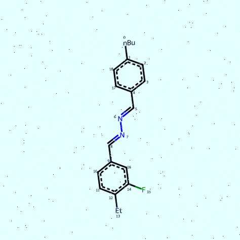 CCCCc1ccc(/C=N/N=C/c2ccc(CC)c(F)c2)cc1